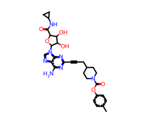 Cc1ccc(OC(=O)N2CCC(CC#Cc3nc(N)c4ncn(C5OC(C(=O)NC6CC6)C(O)C5O)c4n3)CC2)cc1